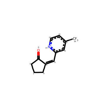 O=C1CCCC1=Cc1cc(C(F)(F)F)ccn1